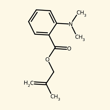 C=C(C)COC(=O)c1ccccc1N(C)C